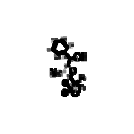 O=S(=O)([O-])C(F)(F)COCC(O)c1ccccc1.[Na+]